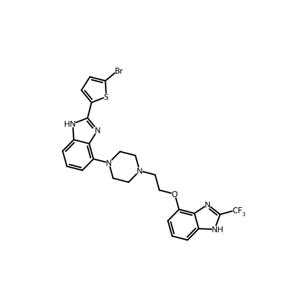 FC(F)(F)c1nc2c(OCCN3CCN(c4cccc5[nH]c(-c6ccc(Br)s6)nc45)CC3)cccc2[nH]1